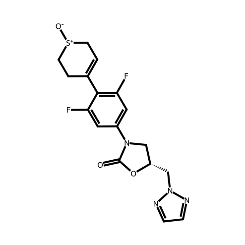 O=C1O[C@@H](Cn2nccn2)CN1c1cc(F)c(C2=CC[S+]([O-])CC2)c(F)c1